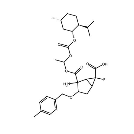 Cc1ccc(COC2CC3C(C2(N)C(=O)OC(C)OC(=O)O[C@@H]2C[C@H](C)CC[C@H]2C(C)C)C3(F)C(=O)O)cc1